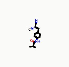 [C-]#[N+]/C(C#N)=C\c1ccc(NC(=O)C(=C)C)cc1